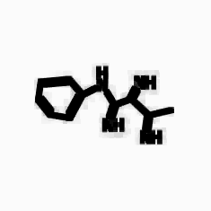 CC(=N)C(=N)C(=N)Nc1ccccc1